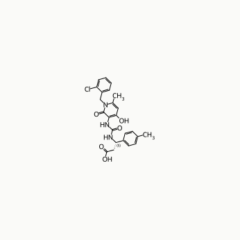 Cc1ccc([C@H](CC(=O)O)NC(=O)Nc2c(O)cc(C)n(Cc3ccccc3Cl)c2=O)cc1